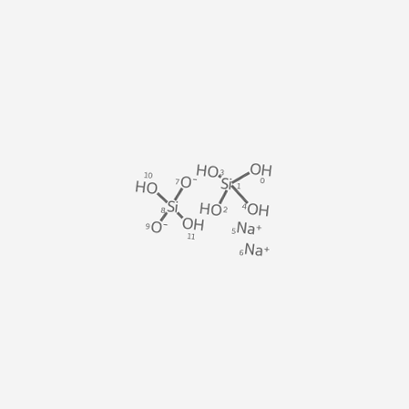 O[Si](O)(O)O.[Na+].[Na+].[O-][Si]([O-])(O)O